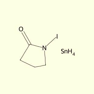 O=C1CCCN1I.[SnH4]